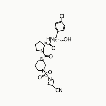 N#CC1CN(S(=O)(=O)N2CCC[C@H](C(=O)N3CCC[C@@H]3C(=O)N[C@@H](CO)c3ccc(Cl)cc3)C2)C1